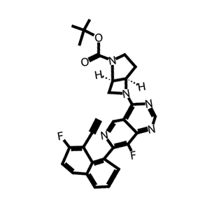 C#Cc1c(F)ccc2cccc(-c3ncc4c(N5C[C@@H]6[C@H]5CCN6C(=O)OC(C)(C)C)ncnc4c3F)c12